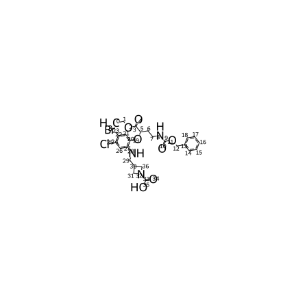 CCOC(=O)C(CCNC(=O)OCc1ccccc1)Oc1cc(Br)c(Cl)cc1NCC1CN(C(=O)O)C1